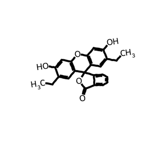 CCc1cc2c(cc1O)Oc1cc(O)c(CC)cc1C21OC(=O)c2ccccc21